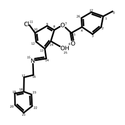 Cc1ccc(C(=O)Oc2cc(Cl)cc(C=NCCc3ccccc3)c2O)cc1